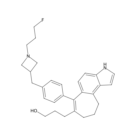 OCCCC1=C(c2ccc(CC3CN(CCCF)C3)cc2)c2ccc3[nH]ccc3c2CCC1